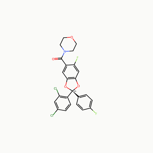 O=C(c1cc2c(cc1F)O[C@](c1ccc(F)cc1)(c1ccc(Cl)cc1Cl)O2)N1CCOCC1